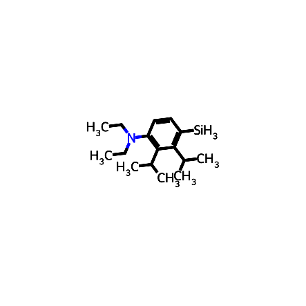 CCN(CC)c1ccc([SiH3])c(C(C)C)c1C(C)C